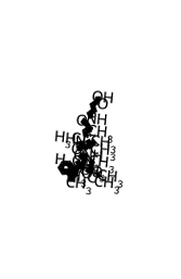 C/C(=C\CN(C)C(=O)C(NC(=O)C(N(C)C(=O)OC(C)(C)C)C(C)(C)c1cn(C)c2c1=CCCC=2)C(C)(C)C)C(=O)NCCCC(=O)O